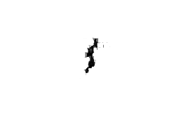 C=CC(=O)Bc1ccc(Bc2nn(C)c3c2CN(C(=O)NC(C)CN(C)C)C3(C)C)cc1